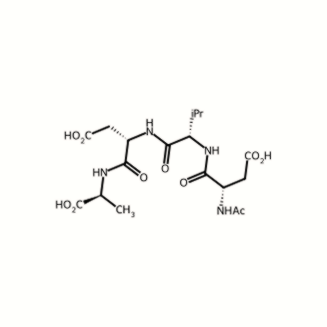 CC(=O)N[C@@H](CC(=O)O)C(=O)N[C@H](C(=O)N[C@@H](CC(=O)O)C(=O)N[C@@H](C)C(=O)O)C(C)C